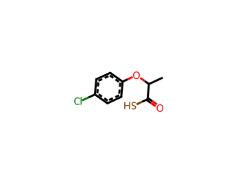 CC(Oc1ccc(Cl)cc1)C(=O)S